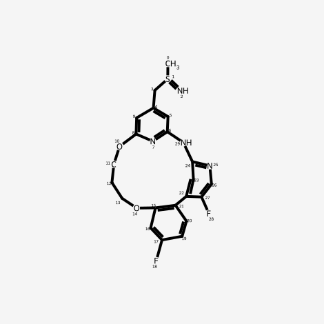 CS(=N)Cc1cc2nc(c1)OCCCOc1cc(F)ccc1-c1cc(ncc1F)N2